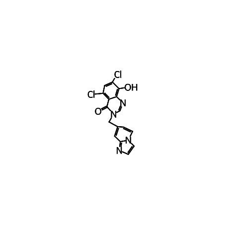 O=c1c2c(Cl)cc(Cl)c(O)c2ncn1Cc1ccn2ccnc2c1